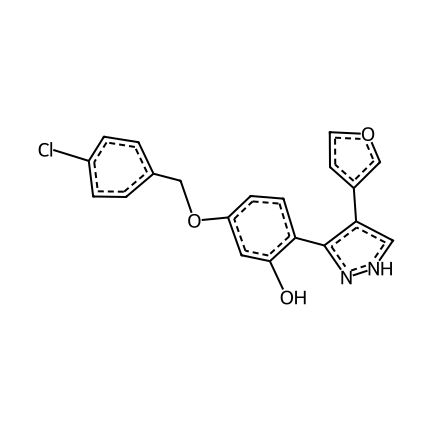 Oc1cc(OCc2ccc(Cl)cc2)ccc1-c1n[nH]cc1-c1ccoc1